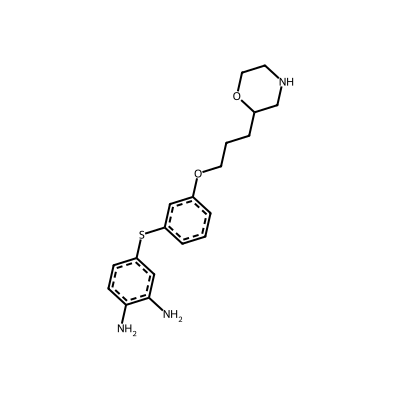 Nc1ccc(Sc2cccc(OCCCC3CNCCO3)c2)cc1N